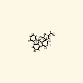 O=CC1CCC(SC(c2ccccc2)(c2ccccc2)c2ccccc2)C1